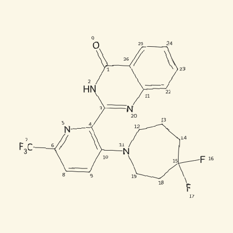 O=c1[nH]c(-c2nc(C(F)(F)F)ccc2N2CCCC(F)(F)CC2)nc2ccccc12